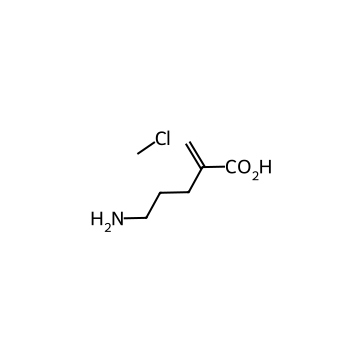 C=C(CCCN)C(=O)O.CCl